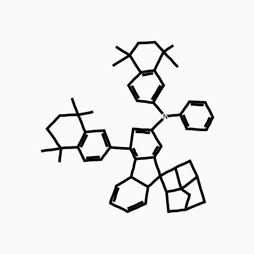 CC1(C)CCC(C)(C)c2cc(-c3cc(N(c4ccccc4)c4ccc5c(c4)C(C)(C)CCC5(C)C)cc4c3C3C=CC=CC3C43C4CC5CC6CC3C64C5)ccc21